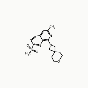 Cc1cc2cnc(S(C)(=O)=O)nc2c(N2CC3(CCOCC3)C2)n1